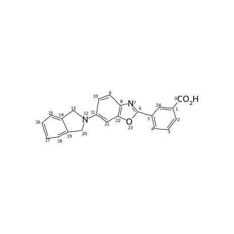 O=C(O)c1cccc(-c2nc3ccc(N4Cc5ccccc5C4)cc3o2)c1